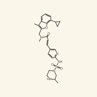 Cc1c(CN(C)C(=O)/C=C/c2ccc(NS(=O)(=O)N3CCNC(C)C3)nc2)oc2c(C3CC3)cccc12